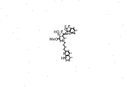 CO[C@H](CF)CN(CCCCc1ccc2c(n1)NCCC2)CC[C@H](NC(=O)c1cnccc1C(F)(F)F)C(=O)O